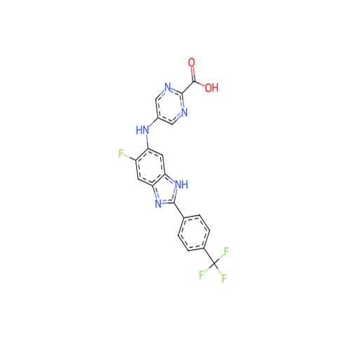 O=C(O)c1ncc(Nc2cc3[nH]c(-c4ccc(C(F)(F)F)cc4)nc3cc2F)cn1